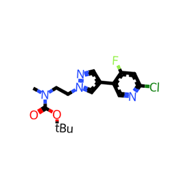 CN(CCn1cc(-c2cnc(Cl)cc2F)cn1)C(=O)OC(C)(C)C